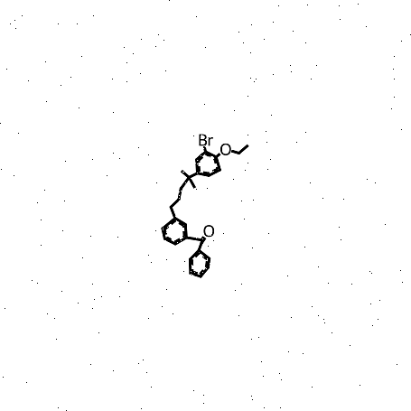 CCOc1ccc(C(C)(C)CCCc2cccc(C(=O)c3ccccc3)c2)cc1Br